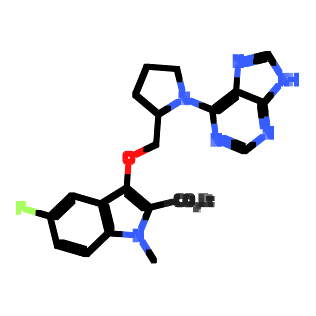 CCOC(=O)c1c(OCC2CCCN2c2ncnc3[nH]cnc23)c2cc(F)ccc2n1C